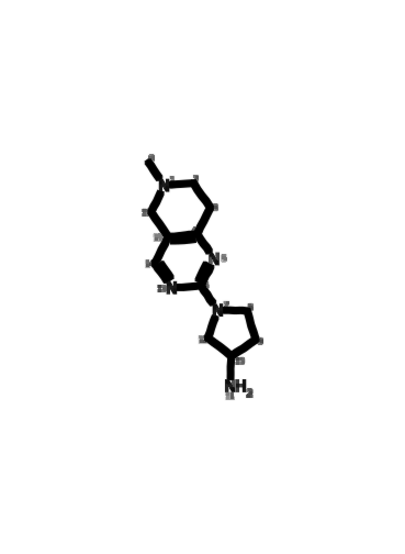 CN1CCc2nc(N3CCC(N)C3)ncc2C1